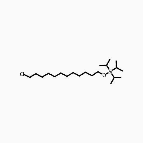 CC(C)[Si](OCCCCCCCCCCCCCl)(C(C)C)C(C)C